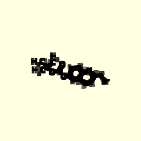 CC(C)(C)OC(=O)Oc1ccc2nc(CBr)ccc2c1